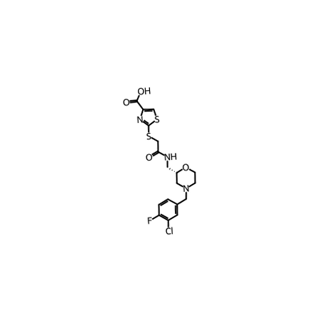 O=C(CSc1nc(C(=O)O)cs1)NC[C@H]1CN(Cc2ccc(F)c(Cl)c2)CCO1